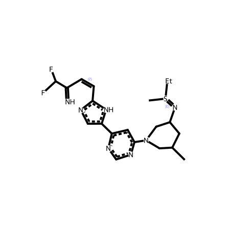 CC/S(C)=N/C1CC(C)CN(c2cc(-c3cnc(/C=C\C(=N)C(F)F)[nH]3)ncn2)C1